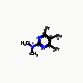 CC(C)c1nc(N(C)C)nc(C(C)C)c1C(C)(C)C